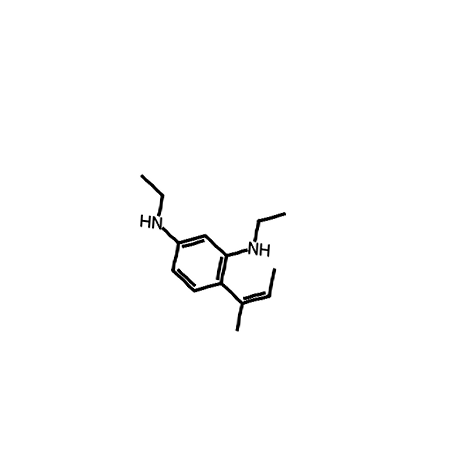 C/C=C(/C)c1ccc(NCC)cc1NCC